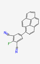 N#Cc1cc(-c2ccc3ccc4cccc5ccc2c3c45)cc(C#N)c1F